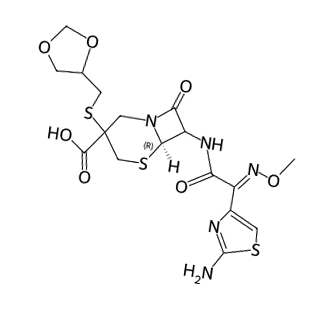 CON=C(C(=O)NC1C(=O)N2CC(SCC3COCO3)(C(=O)O)CS[C@H]12)c1csc(N)n1